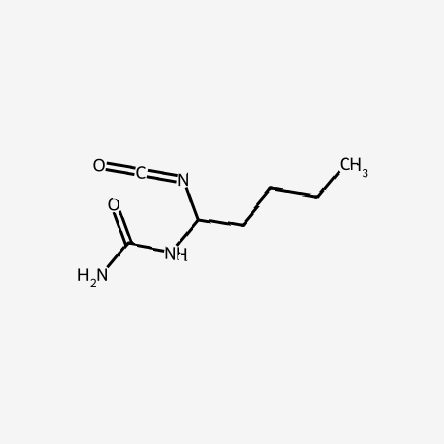 CCCCC(N=C=O)NC(N)=O